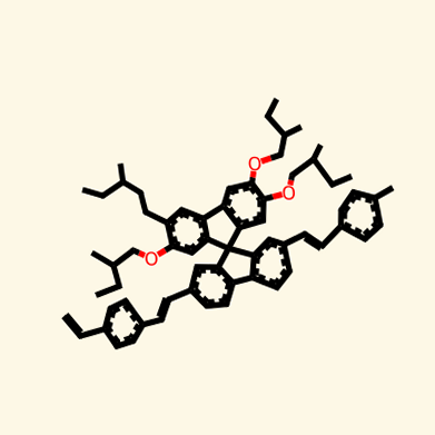 C=Cc1ccc(/C=C/c2ccc3c(c2)C2(c4cc(/C=C/c5ccc(C)cc5)ccc4-3)c3cc(OCC(C)CC)c(CCC(C)CC)cc3-c3cc(OCC(C)CC)c(OCC(C)CC)cc32)cc1